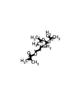 C=C(C)C(=O)OCCC[SiH2]C(OC(C)C)OC(C)C